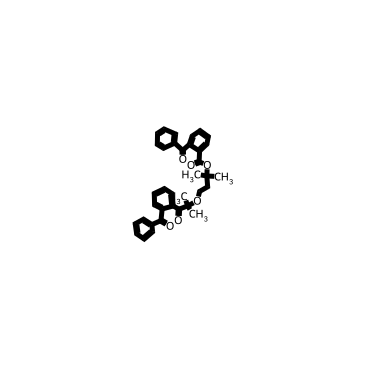 CC(C)(CCOC(C)(C)C(=O)c1ccccc1C(=O)c1ccccc1)OC(=O)c1ccccc1C(=O)c1ccccc1